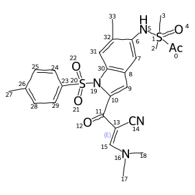 CC(=O)S(C)(C)(=O)Nc1cc2cc(C(=O)/C(C#N)=C/N(C)C)n(S(=O)(=O)c3ccc(C)cc3)c2cc1C